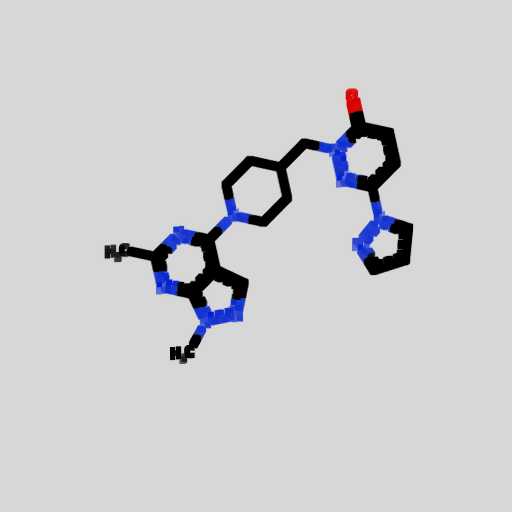 Cc1nc(N2CCC(Cn3nc(-n4cccn4)ccc3=O)CC2)c2cnn(C)c2n1